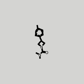 Cc1ccc(C2CN(C(=O)N(C)C)C2)cc1